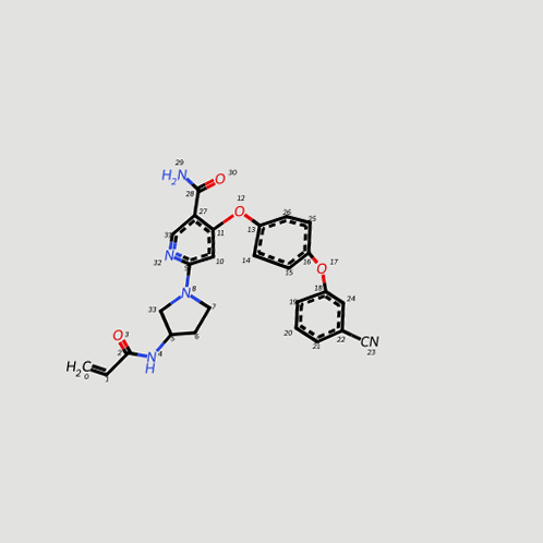 C=CC(=O)NC1CCN(c2cc(Oc3ccc(Oc4cccc(C#N)c4)cc3)c(C(N)=O)cn2)C1